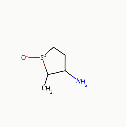 CC1C(N)CC[S+]1[O-]